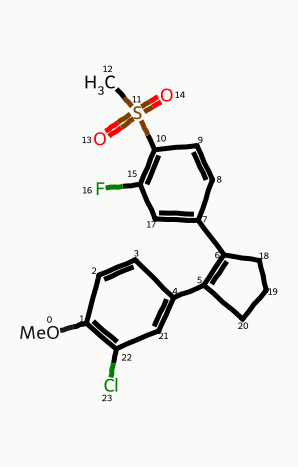 COc1ccc(C2=C(c3ccc(S(C)(=O)=O)c(F)c3)CCC2)cc1Cl